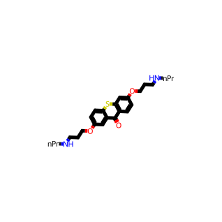 CCCNCCCOc1ccc2c(=O)c3cc(OCCCNCCC)ccc3sc2c1